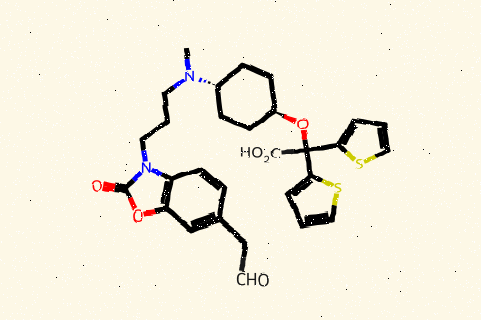 CN(CCCn1c(=O)oc2cc(CC=O)ccc21)[C@H]1CC[C@H](OC(C(=O)O)(c2cccs2)c2cccs2)CC1